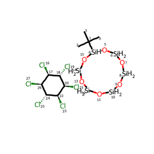 CC(C)(C)[SiH]1O[SiH2]O[SiH2]O[SiH2]O[SiH2]O[SiH2]O1.Cl[C@H]1[C@H](Cl)[C@@H](Cl)[C@@H](Cl)[C@H](Cl)[C@H]1Cl